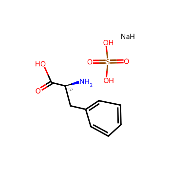 N[C@@H](Cc1ccccc1)C(=O)O.O=S(=O)(O)O.[NaH]